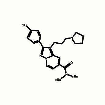 CCCCN(CCCC)C(=O)c1ccn2nc(-c3ccc(C(C)(C)C)cc3)c(CCCN3CCCC3)c2c1